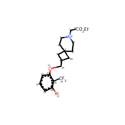 CCOC(=O)CN1CCC2(CC1)CC(COc1cccc(Br)c1C(F)(F)F)C2